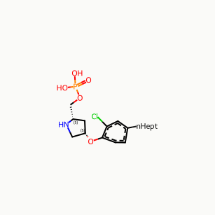 CCCCCCCc1ccc(O[C@@H]2CN[C@H](COP(=O)(O)O)C2)c(Cl)c1